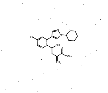 C=C(CC(O)c1ccc(Cl)cc1-c1cnn(C2CCCCO2)c1)C(=O)OC